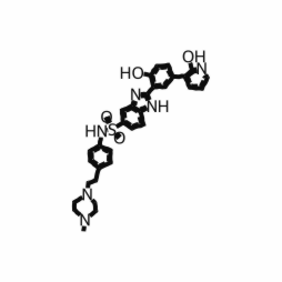 CN1CCN(CCc2ccc(NS(=O)(=O)c3ccc4[nH]c(-c5cc(-c6cccnc6O)ccc5O)nc4c3)cc2)CC1